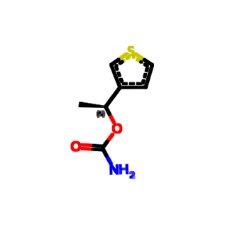 C[C@H](OC(N)=O)c1ccsc1